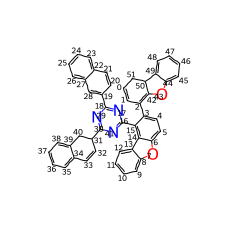 C1=CC(c2ccc3oc4ccccc4c3c2-c2nc(-c3ccc4ccccc4c3)nc(C3C=Cc4ccccc4C3)n2)=C2Oc3ccccc3C2C1